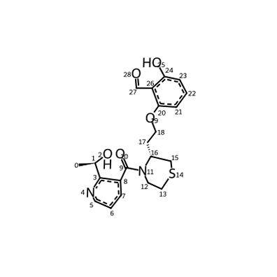 C[C@@H](O)c1ncccc1C(=O)N1CCSC[C@H]1CCOc1cccc(O)c1C=O